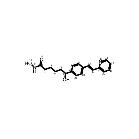 O=C(CCCCC(O)c1ccc(C=Cc2ccccn2)cc1)NO